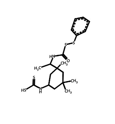 CC(NC(=O)SSc1ccccc1)C1(C)CC(NC(=S)S)CC(C)(C)C1